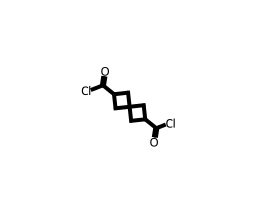 O=C(Cl)C1CC2(C1)CC(C(=O)Cl)C2